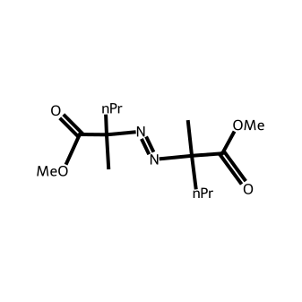 CCCC(C)(N=NC(C)(CCC)C(=O)OC)C(=O)OC